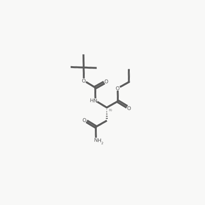 CCOC(=O)[C@H](CC(N)=O)NC(=O)OC(C)(C)C